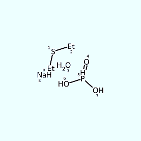 CCSCC.O.O=[PH](O)O.[NaH]